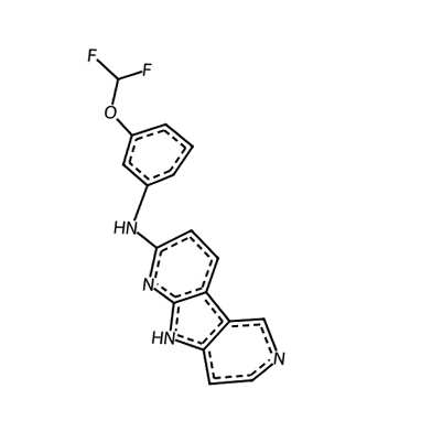 FC(F)Oc1cccc(Nc2ccc3c(n2)[nH]c2ccncc23)c1